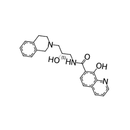 O=C(NC[C@H](O)CN1CCc2ccccc2C1)c1ccc2cccnc2c1O